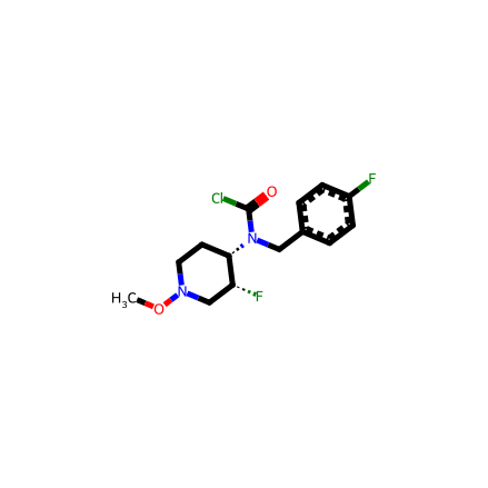 CON1CC[C@H](N(Cc2ccc(F)cc2)C(=O)Cl)[C@H](F)C1